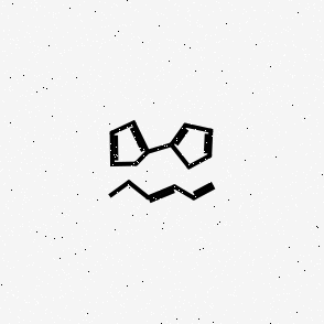 C1=CCC(C2=CC=CC2)=C1.C=CC=CCC